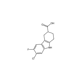 O=C(O)C1CCc2[nH]c3cc(Cl)c(F)cc3c2C1